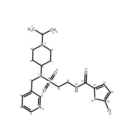 CC(C)N1CCC(N(Cc2cccnc2)S(=O)(=O)CCNC(=O)c2ccc(Cl)s2)CC1